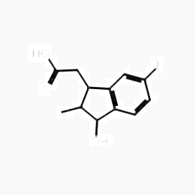 CC1C(O)c2ccc(F)cc2C1CC(=O)O